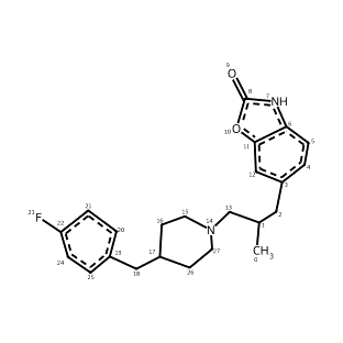 CC(Cc1ccc2[nH]c(=O)oc2c1)CN1CCC(Cc2ccc(F)cc2)CC1